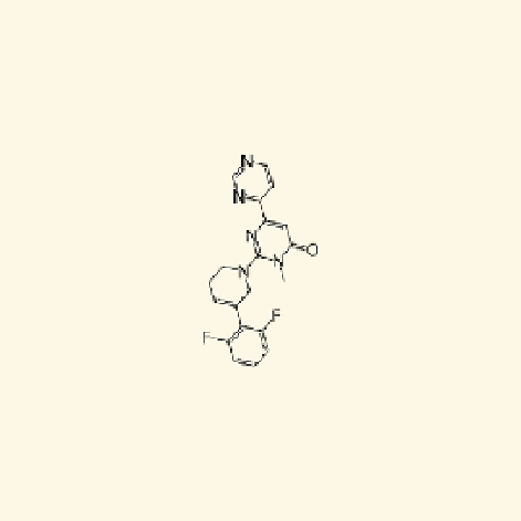 Cn1c(N2CCC=C(c3c(F)cccc3F)C2)nc(-c2ccncn2)cc1=O